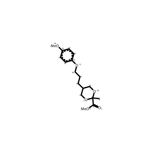 COC(=O)C1(C)OCC(CCCOc2ccc(OC)cc2)CO1